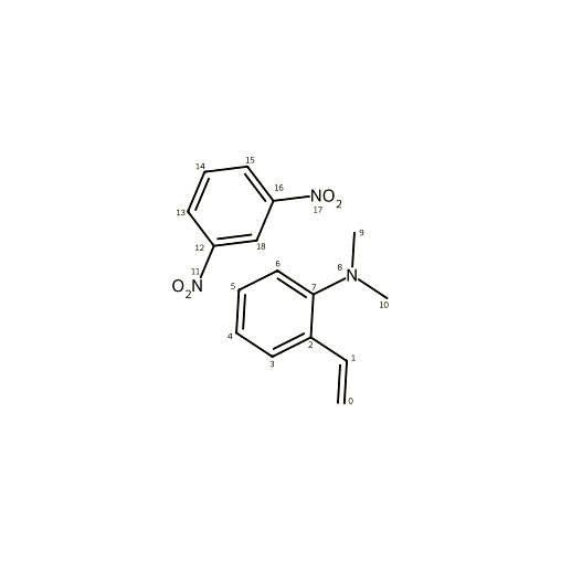 C=Cc1ccccc1N(C)C.O=[N+]([O-])c1cccc([N+](=O)[O-])c1